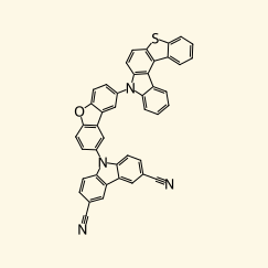 N#Cc1ccc2c(c1)c1cc(C#N)ccc1n2-c1ccc2oc3ccc(-n4c5ccccc5c5c6c(ccc54)sc4ccccc46)cc3c2c1